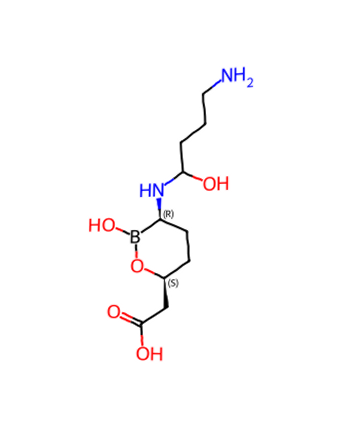 NCCCC(O)N[C@H]1CC[C@@H](CC(=O)O)OB1O